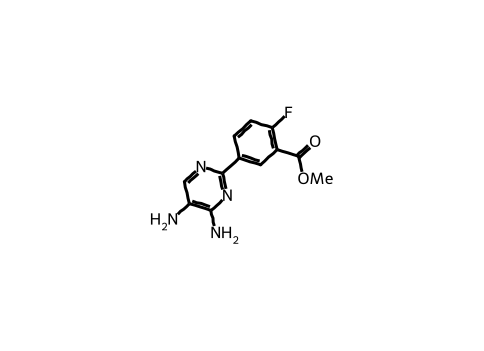 COC(=O)c1cc(-c2ncc(N)c(N)n2)ccc1F